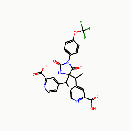 CC(c1ccnc(C(=O)O)c1)C1(C(C)c2ccnc(C(=O)O)c2)NC(=O)N(c2ccc(OC(F)(F)F)cc2)C1=O